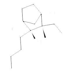 CCCC[C@]1(O)[C@H]2CC[C@H](C2)[C@]1(C)CC